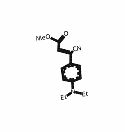 CCN(CC)c1ccc(C(C#N)=CC(=O)OC)cc1